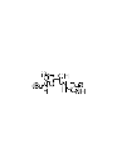 CC(C)C[C@H](OC(=O)NC(C)(C)C)[C@H](O)CNC[C@@H]1CNC(=O)O1